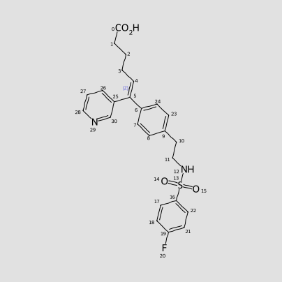 O=C(O)CCC/C=C(/c1ccc(CCNS(=O)(=O)c2ccc(F)cc2)cc1)c1cccnc1